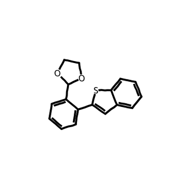 c1ccc(C2OCCO2)c(-c2cc3ccccc3s2)c1